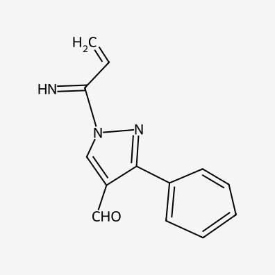 C=CC(=N)n1cc(C=O)c(-c2ccccc2)n1